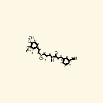 COc1ccc(CCN(C)CCCNC(=O)CCc2cccc(C#N)c2)cc1OC